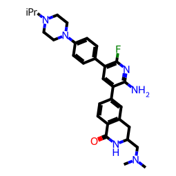 CC(C)N1CCN(c2ccc(-c3cc(-c4ccc5c(c4)CC(CN(C)C)NC5=O)c(N)nc3F)cc2)CC1